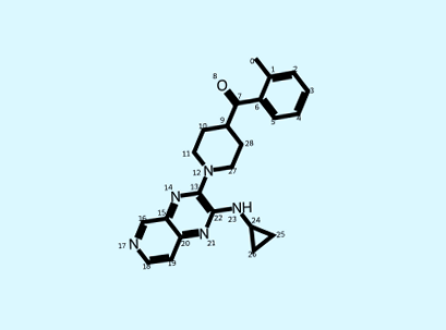 Cc1ccccc1C(=O)C1CCN(c2nc3cnccc3nc2NC2CC2)CC1